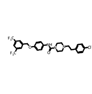 O=C(Nc1ccc(OCc2cc(C(F)(F)F)cc(C(F)(F)F)c2)cc1)N1CCN(CCc2ccc(Cl)cc2)CC1